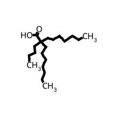 CCCCCCCC(CCCC)(CCCCCCC)C(=O)O